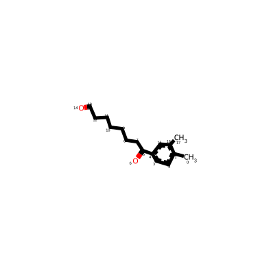 Cc1ccc(C(=O)CCCCCCC=O)cc1C